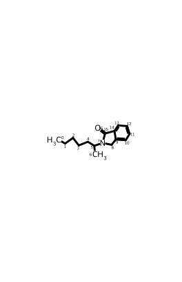 CCCCCC(C)N1Cc2ccccc2C1=O